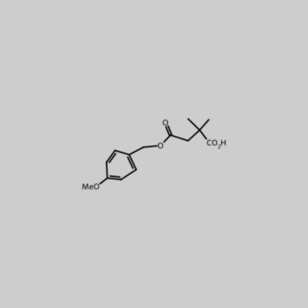 COc1ccc(COC(=O)CC(C)(C)C(=O)O)cc1